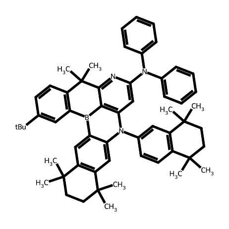 CC(C)(C)c1ccc2c(c1)B1c3cc4c(cc3N(c3ccc5c(c3)C(C)(C)CCC5(C)C)c3cc(N(c5ccccc5)c5ccccc5)nc(c31)C2(C)C)C(C)(C)CCC4(C)C